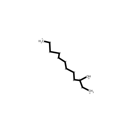 [CH2]CCCCCCCCC(O)CC